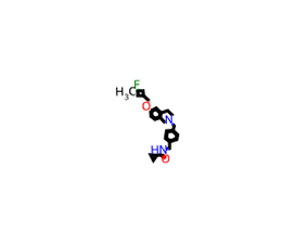 CC1(F)CC(COc2ccc3c(c2)CCN(Cc2ccc(CNC(=O)C4CC4)cc2)C3)C1